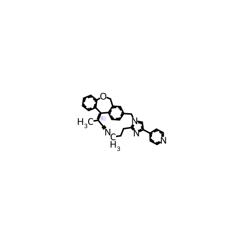 CCCc1nc(-c2ccncc2)cn1Cc1ccc2c(c1)COc1ccccc1/C2=C(\C)C#N